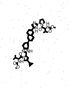 COC(=O)N[C@H](C(=O)N1CC(C2CC2)=CC1c1nc2ccc(-c3ccc4cc(-c5cnc([C@@H]6CCCN6C(=O)[C@@H](NC(=O)OC)C(C)C)[nH]5)ccc4c3)cc2[nH]1)C(C)C